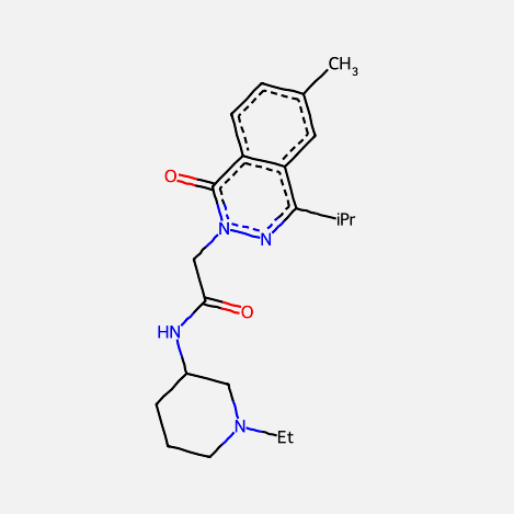 CCN1CCCC(NC(=O)Cn2nc(C(C)C)c3cc(C)ccc3c2=O)C1